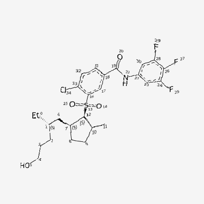 CC[C@@H](CCCO)C[C@@H]1CCC(C)[C@@H]1S(=O)(=O)c1cc(C(=O)Nc2cc(F)c(F)c(F)c2)ccc1Cl